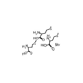 CSCC[C@H](N)C(=O)O.CSCC[C@H](N)C(=O)O.CSCC[C@H](N)C(=O)O.[Mn]